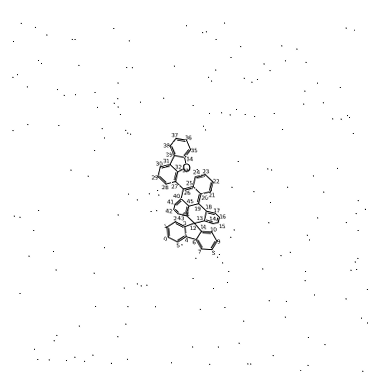 c1ccc2c(c1)-c1ccccc1C21c2ccccc2-c2c3ccccc3c(-c3cccc4c3oc3ccccc34)c3cccc1c23